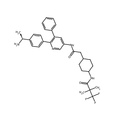 C[C@H](N)c1ccc(-c2ncc(NC(=O)CC3CCC(NC(=O)C(C)(C)C(F)(F)F)CC3)cc2-c2ccccc2)cc1